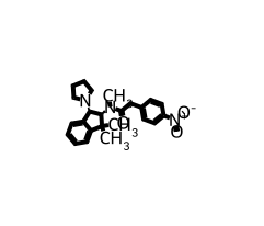 CN(C(=O)Cc1ccc([N+](=O)[O-])cc1)[C@@H]1[C@@H](N2CCCC2)c2ccccc2C1(C)C